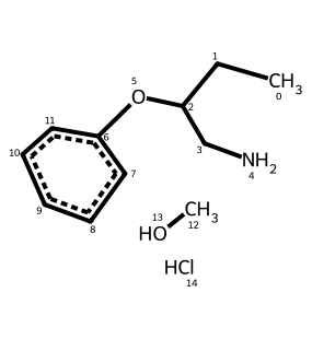 CCC(CN)Oc1ccccc1.CO.Cl